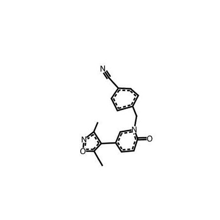 Cc1noc(C)c1-c1ccc(=O)n(Cc2ccc(C#N)cc2)c1